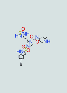 C#Cc1ccc2[nH]c(S(=O)(=O)N3CCN(C(=O)c4nc5c(o4)CNC(C)C5)C(CCC4NSC(=O)N4)C3)cc2c1